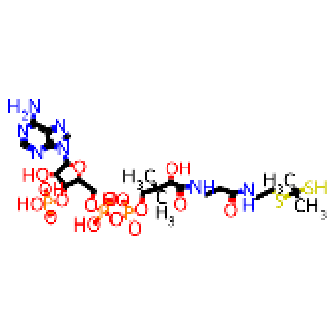 CC(C)(S)SCCNC(=O)CCNC(=O)C(O)C(C)(C)COP(=O)(O)OP(=O)(O)OCC1OC(n2cnc3c(N)ncnc32)C(O)C1OP(=O)(O)O